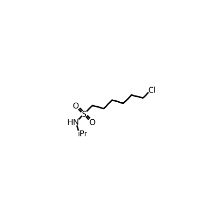 CC(C)NS(=O)(=O)CCCCCCCl